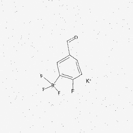 O=Cc1ccc(F)c([B-](F)(F)F)c1.[K+]